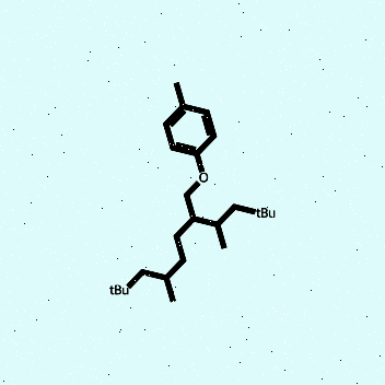 Cc1ccc(OCC(CCC(C)CC(C)(C)C)C(C)CC(C)(C)C)cc1